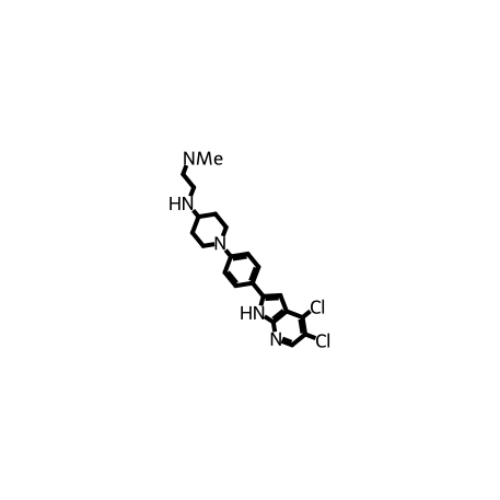 CNCCNC1CCN(c2ccc(-c3cc4c(Cl)c(Cl)cnc4[nH]3)cc2)CC1